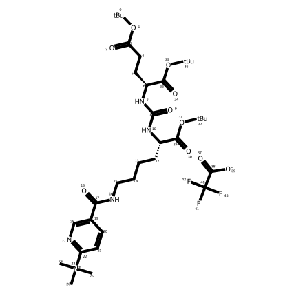 CC(C)(C)OC(=O)CC[C@H](NC(=O)N[C@@H](CCCCNC(=O)c1ccc([N+](C)(C)C)nc1)C(=O)OC(C)(C)C)C(=O)OC(C)(C)C.O=C([O-])C(F)(F)F